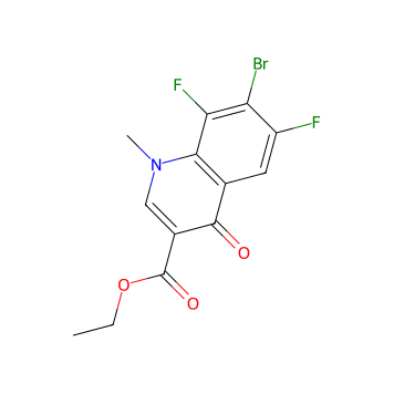 CCOC(=O)c1cn(C)c2c(F)c(Br)c(F)cc2c1=O